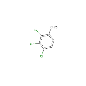 O=[C]c1ccc(Cl)c(F)c1Cl